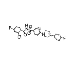 O=C(NS(=O)(=O)c1ccc(N2CCN(c3ccc(F)cc3)CC2)nc1)c1ccc(F)cc1Cl